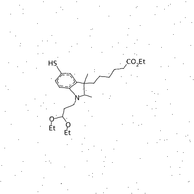 CCOC(=O)CCCCCC1(C)c2cc(S)ccc2N(CCC(OCC)OCC)C1C